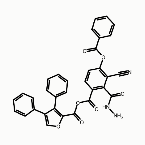 N#Cc1c(OC(=O)c2ccccc2)ccc(C(=O)OC(=O)c2occ(-c3ccccc3)c2-c2ccccc2)c1C(=O)NN